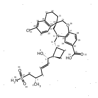 C[C@@H](CC=C[C@H](O)[C@@H]1CC[C@H]1CN1C[C@@]2(CCCc3cc(Cl)ccc32)COc2ccc(C(=O)O)cc21)CS(N)(=O)=O